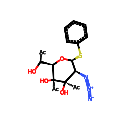 CC(=O)C(O)[C@H]1O[C@@H](Sc2ccccc2)[C@@H](N=[N+]=[N-])[C@](O)(C(C)=O)[C@@]1(O)C(C)=O